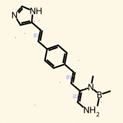 CB(C)N(C)C(=C\N)/C=C/c1ccc(/C=C/c2cnc[nH]2)cc1